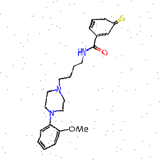 COc1ccccc1N1CCN(CCCCNC(=O)C2=CC(=S)CC=C2)CC1